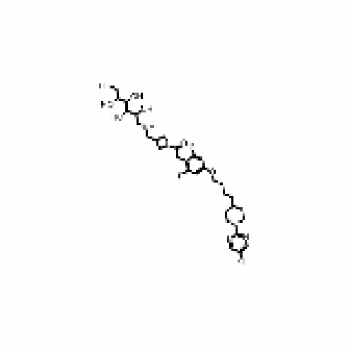 O=C(Cc1c(F)cc(OCCCCC2CCN(c3ncc(Cl)cn3)CC2)cc1F)N1CC(CNCC(O)C(O)C(O)C(O)CO)C1